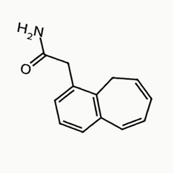 NC(=O)Cc1cccc2c1CC=CC=C2